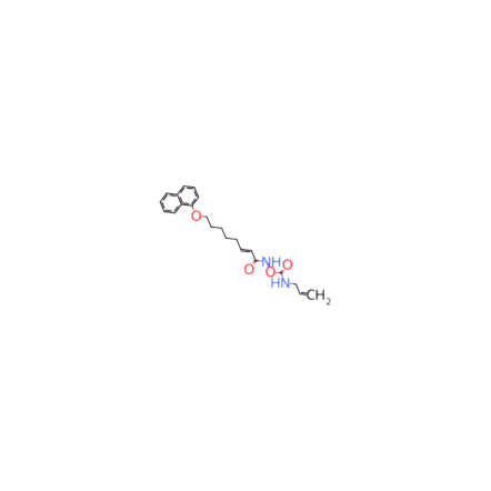 C=CCNC(=O)ONC(=O)C=CCCCCCOc1cccc2ccccc12